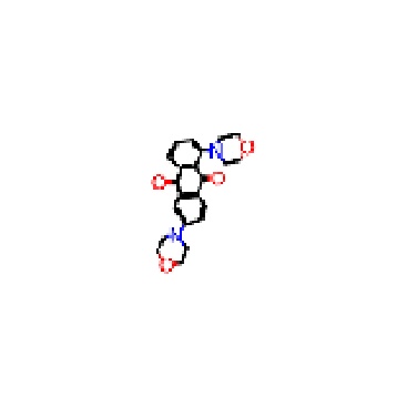 O=C1c2cc(N3CCOCC3)ccc2C(=O)c2c1cccc2N1CCOCC1